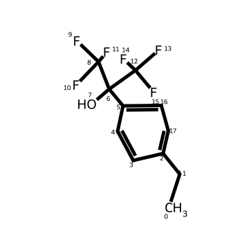 C[CH]c1ccc(C(O)(C(F)(F)F)C(F)(F)F)cc1